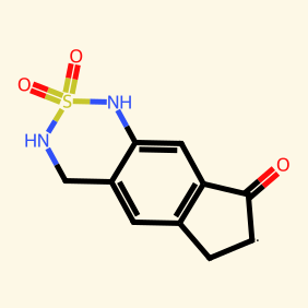 O=C1[CH]Cc2cc3c(cc21)NS(=O)(=O)NC3